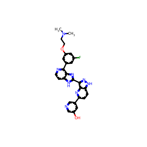 CN(C)CCOc1cc(F)cc(-c2nccc3[nH]c(-c4n[nH]c5ccc(-c6cncc(O)c6)nc45)nc23)c1